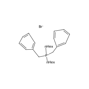 CCCCCC[P+](CCCCCC)(Cc1ccccc1)Cc1ccccc1.[Br-]